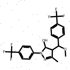 COC(c1ccc(C(F)(F)F)cc1)C1C(C)=NN(c2ccc(C(F)(F)F)cc2)C1O